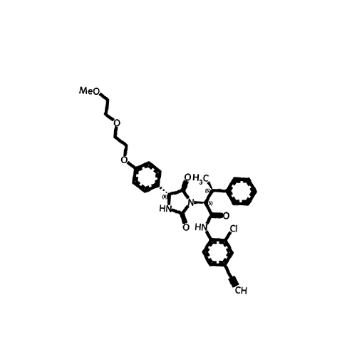 C#Cc1ccc(NC(=O)[C@H]([C@@H](C)c2ccccc2)N2C(=O)N[C@H](c3ccc(OCCOCCOC)cc3)C2=O)c(Cl)c1